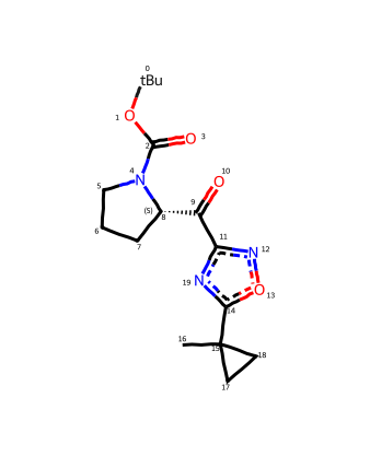 CC(C)(C)OC(=O)N1CCC[C@H]1C(=O)c1noc(C2(C)CC2)n1